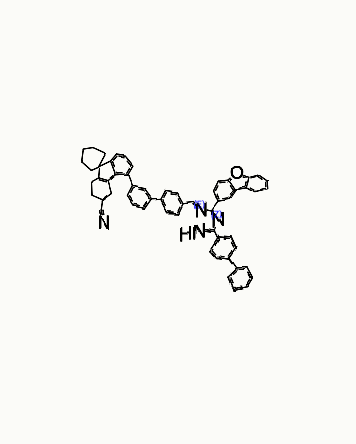 N#CC1CCC2=C(C1)c1c(-c3cccc(-c4ccc(/C=N/C(=N\C(=N)c5ccc(-c6ccccc6)cc5)c5ccc6oc7ccccc7c6c5)cc4)c3)cccc1C21CCCCC1